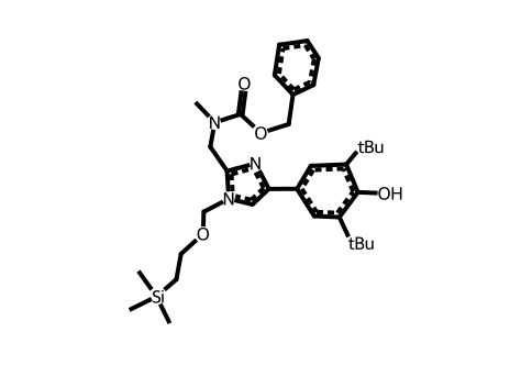 CN(Cc1nc(-c2cc(C(C)(C)C)c(O)c(C(C)(C)C)c2)cn1COCC[Si](C)(C)C)C(=O)OCc1ccccc1